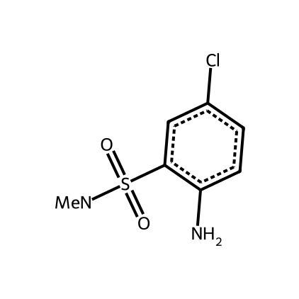 CNS(=O)(=O)c1cc(Cl)ccc1N